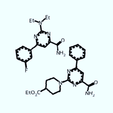 CCN(CC)c1nc(C(N)=O)cc(-c2cccc(F)c2)n1.CCOC(=O)C1CCN(c2nc(C(N)=O)cc(-c3ccccc3)n2)CC1